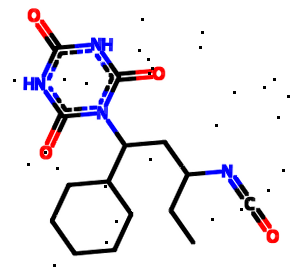 CCC(CC(C1CCCCC1)n1c(=O)[nH]c(=O)[nH]c1=O)N=C=O